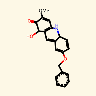 COC1=CC2=C(C=C3C=C(OCc4ccccc4)C=CC3N2)C(O)C1=O